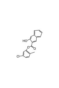 Cc1ccc(Cl)cc1OC(=O)c1cc2ccccc2cc1O